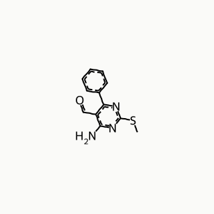 CSc1nc(N)c(C=O)c(-c2ccccc2)n1